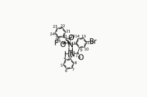 O=C(Nc1ccccc1)c1cc(Br)ccc1NS(=O)(=O)c1ccccc1F